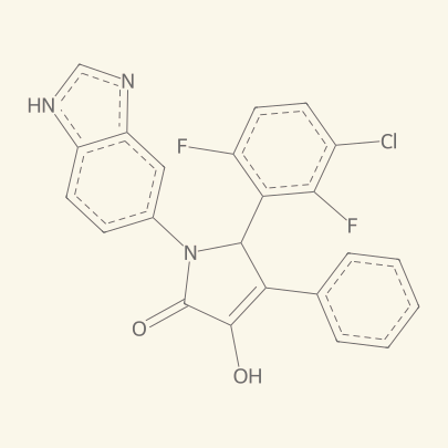 O=C1C(O)=C(c2ccccc2)C(c2c(F)ccc(Cl)c2F)N1c1ccc2[nH]cnc2c1